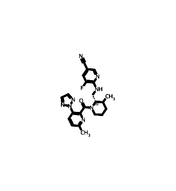 Cc1ccc(-n2nccn2)c(C(=O)N2CCCC(C)[C@H]2CNc2ncc(C#N)cc2F)n1